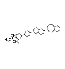 C[Si](C)(C)c1ccc(-c2ccc(-c3ccc4cc(/C5=C/C=c6/cccc/c6=C/CC5)ccc4c3)cc2)cc1